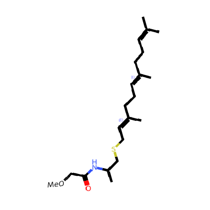 COCC(=O)NC(C)CSC/C=C(\C)CC/C=C(\C)CCC=C(C)C